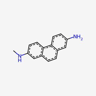 CNc1ccc2c(ccc3cc(N)ccc32)c1